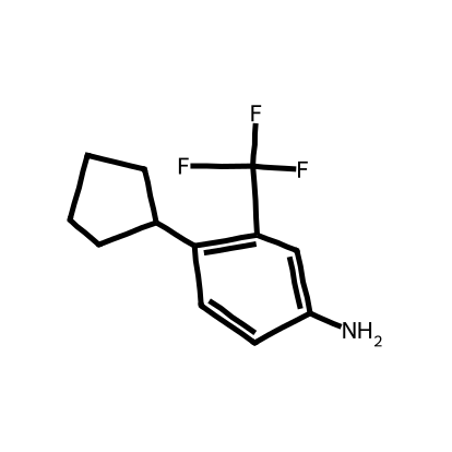 Nc1ccc(C2CCCC2)c(C(F)(F)F)c1